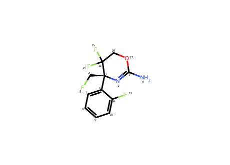 NC1=N[C@](CF)(c2ccccc2F)C(F)(F)CO1